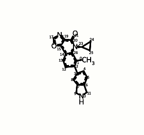 Cc1c(-c2ccc3c(c2)CNC3)ccc2c3ocnc3c(=O)n(C3CC3)c12